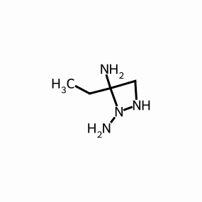 CCC1(N)CNN1N